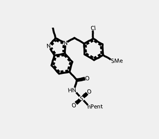 CCCCCS(=O)(=O)NC(=O)c1ccc2nc(C)n(Cc3ccc(SC)cc3Cl)c2c1